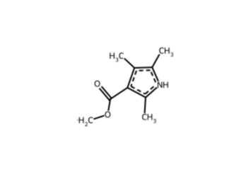 [CH2]OC(=O)c1c(C)[nH]c(C)c1C